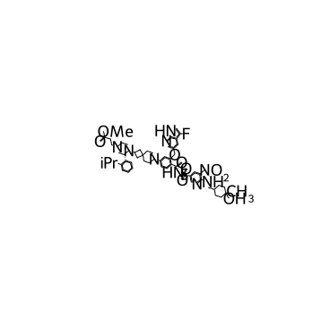 COC(=O)CCN1CCN(C2CC3(CCN(c4ccc(C(=O)NS(=O)(=O)c5cnc(NCC6CCC(C)(O)CC6)c([N+](=O)[O-])c5)c(Oc5cnc6[nH]cc(F)c6c5)c4)CC3)C2)[C@H](c2ccccc2C(C)C)C1